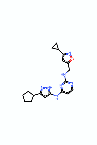 c1cc(Nc2cc(C3CCCC3)n[nH]2)nc(NCc2cc(C3CC3)no2)n1